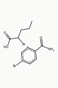 CCCC(Br)C(=O)O.NC(=O)c1ccc(Br)cn1